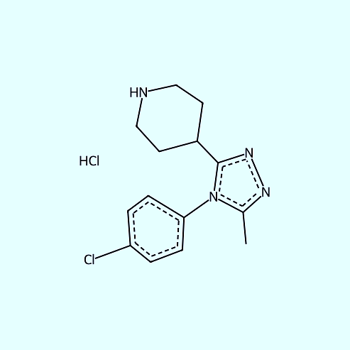 Cc1nnc(C2CCNCC2)n1-c1ccc(Cl)cc1.Cl